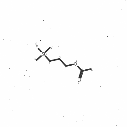 CC(=O)OCCC[Si](C)(C)F